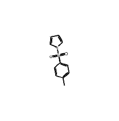 Cc1ccc(S(=O)(=O)n2c[c]cc2)cc1